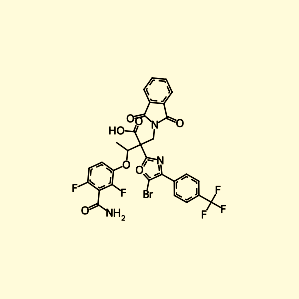 CC(Oc1ccc(F)c(C(N)=O)c1F)C(CN1C(=O)c2ccccc2C1=O)(C(=O)O)c1nc(-c2ccc(C(F)(F)F)cc2)c(Br)o1